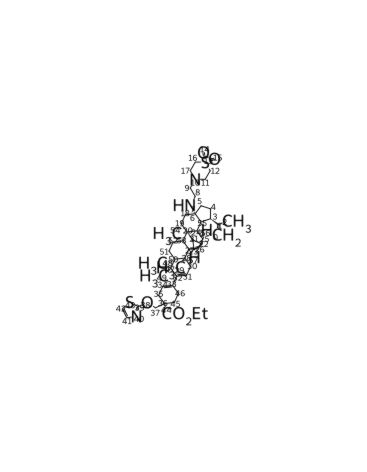 C=C(C)[C@@H]1CC[C@]2(NCCN3CCS(=O)(=O)CC3)CC[C@]3(C4CC4)[C@H](CC[C@@H]4[C@@]5(C)CC=C(C6=CCC(COc7nccs7)(C(=O)OCC)CC6)C(C)(C)C5CC[C@]43C)C12